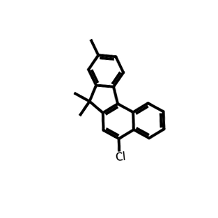 Cc1ccc2c(c1)C(C)(C)c1cc(Cl)c3ccccc3c1-2